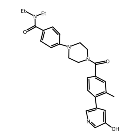 CCN(CC)C(=O)c1ccc(N2CCN(C(=O)c3ccc(-c4cncc(O)c4)c(C)c3)CC2)cc1